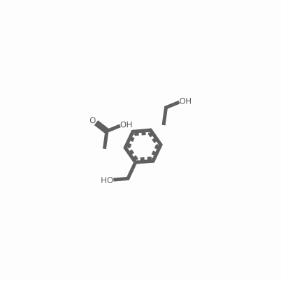 CC(=O)O.CCO.OCc1ccccc1